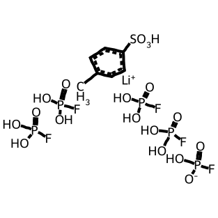 Cc1ccc(S(=O)(=O)O)cc1.O=P(O)(O)F.O=P(O)(O)F.O=P(O)(O)F.O=P(O)(O)F.O=P([O-])(O)F.[Li+]